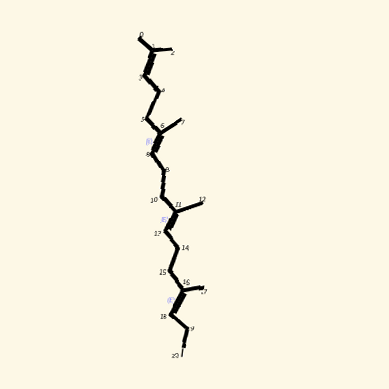 CC(C)=CCC/C(C)=C/CC/C(C)=C/CC/C(C)=C/CI